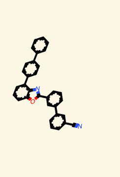 N#Cc1cccc(-c2cccc(-c3nc4c(-c5ccc(-c6ccccc6)cc5)cccc4o3)c2)c1